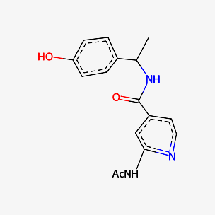 CC(=O)Nc1cc(C(=O)NC(C)c2ccc(O)cc2)ccn1